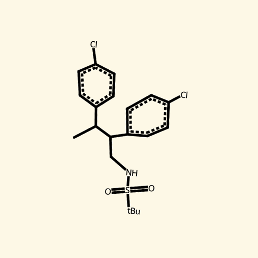 CC(c1ccc(Cl)cc1)C(CNS(=O)(=O)C(C)(C)C)c1ccc(Cl)cc1